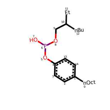 CCCCCCCCc1ccc(OP(O)OCC(CC)CCCC)cc1